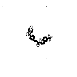 CN1CCN(C(=O)c2ccc(C=CC(=O)c3ccc4cc(C(F)(F)F)ccc4n3)cc2)CC1